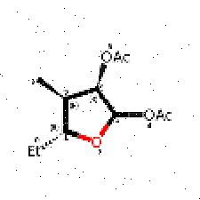 CC[C@H]1OC(OC(C)=O)[C@H](OC(C)=O)[C@@H]1C